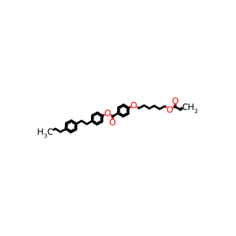 C=CC(=O)OCCCCCCOc1ccc(C(=O)Oc2ccc(CCc3ccc(CCC)cc3)cc2)cc1